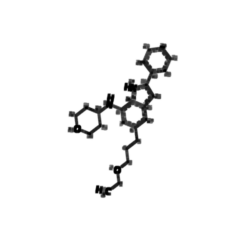 CCOCCCc1cc(NC2CCOCC2)c2[nH]c(-c3ccccc3)cc2c1